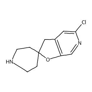 Clc1cc2c(cn1)OC1(CCNCC1)C2